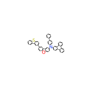 c1ccc(-c2ccc(N(c3ccc4oc5ccc(-c6ccc7sc8ccccc8c7c6)cc5c4c3)c3ccc4c5ccccc5c5ccccc5c4c3)cc2)cc1